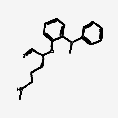 CNCCC[C@@H](C=O)Oc1ccccc1N(C)c1ccccc1